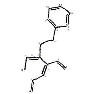 C=C/C=C(C=C)\C(=C/C)CCc1ccccn1